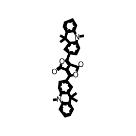 CN1c2ccccc2C(C)(C)c2cc(C3=C4C(=O)OC(c5ccc6c(c5)C(C)(C)c5ccccc5N6C)=C4C(=O)O3)ccc21